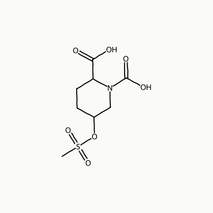 CS(=O)(=O)OC1CCC(C(=O)O)N(C(=O)O)C1